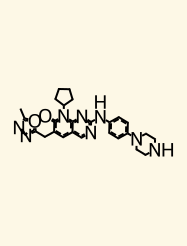 Cc1nnc(Cc2cc3cnc(Nc4ccc(N5CCNCC5)cc4)nc3n(C3CCCC3)c2=O)o1